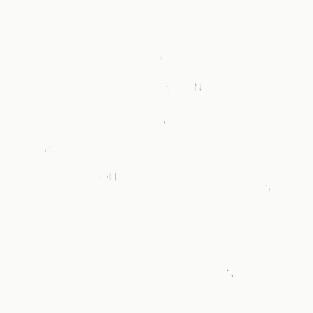 CCN(c1ccc(Oc2ccncc2)cc1)S(=O)(=O)c1cc(C)c(C)c(C(=O)O)c1